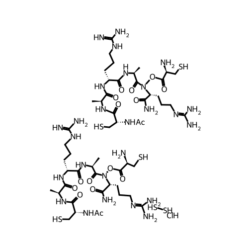 CC(=O)N[C@H](CS)C(=O)N[C@@H](C)C(=O)N[C@H](CCCNC(=N)N)C(=O)N[C@@H](C)C(=O)N(OC(=O)[C@@H](N)CS)[C@H](CCCN=C(N)N)C(N)=O.CC(=O)N[C@H](CS)C(=O)N[C@@H](C)C(=O)N[C@H](CCCNC(=N)N)C(=O)N[C@@H](C)C(=O)N(OC(=O)[C@@H](N)CS)[C@H](CCCN=C(N)N)C(N)=O.Cl.SS